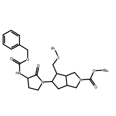 CC(C)SCC1C2CN(C(=O)OC(C)(C)C)CC2CC1N1CCC(NC(=O)OCc2ccccc2)C1=O